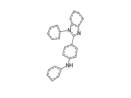 c1ccc(Nc2ccc(-c3nc4ccccc4n3-c3ccccc3)cc2)cc1